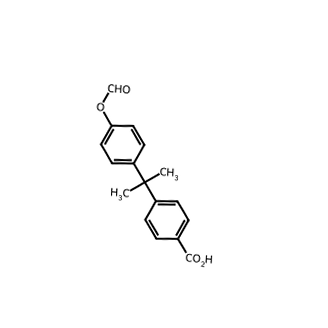 CC(C)(c1ccc(OC=O)cc1)c1ccc(C(=O)O)cc1